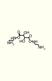 NCCNOC(=O)C(O)C(O)C(=O)ONCCN